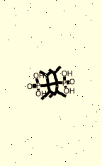 CC(C)C(C(C)C)(C(C(C)C)(C(C)C)P(=O)(O)O)P(=O)(O)O